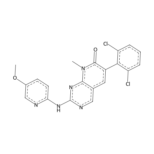 COc1ccc(Nc2ncc3cc(-c4c(Cl)cccc4Cl)c(=O)n(C)c3n2)nc1